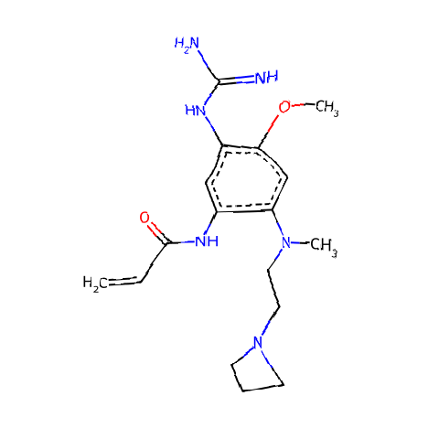 C=CC(=O)Nc1cc(NC(=N)N)c(OC)cc1N(C)CCN1CCC1